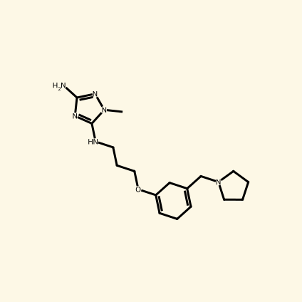 Cn1nc(N)nc1NCCCOC1=CCC=C(CN2CCCC2)C1